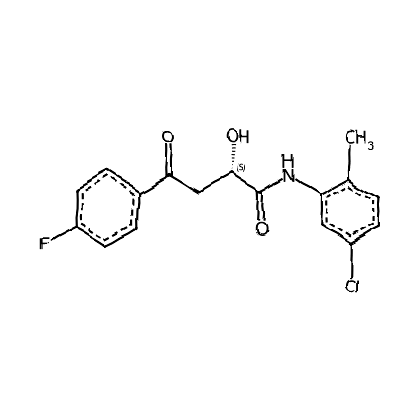 Cc1ccc(Cl)cc1NC(=O)[C@@H](O)CC(=O)c1ccc(F)cc1